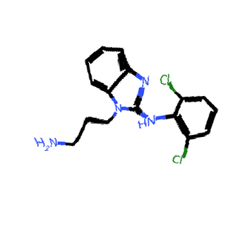 NCCCn1c(Nc2c(Cl)cccc2Cl)nc2ccccc21